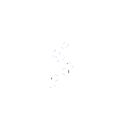 Cc1cn(-c2ccnc3[nH]c(-c4n[nH]c5c(F)cc(-c6cncc(NC(=O)C7CC7)c6)cc45)nc23)cn1